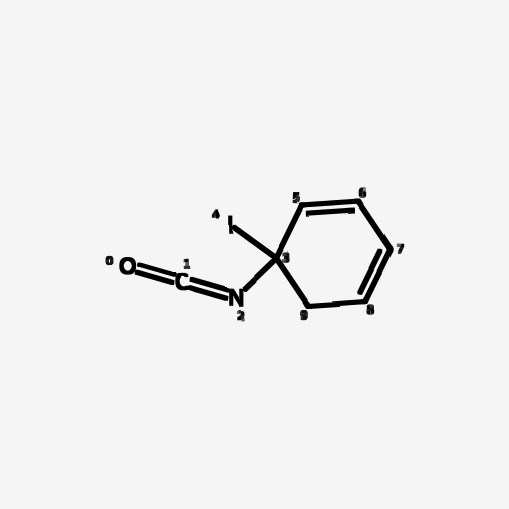 O=C=NC1(I)C=CC=CC1